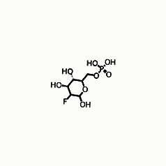 O=P(O)(O)OCC1OC(O)C(F)[C@@H](O)[C@@H]1O